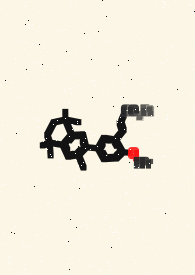 CCCOc1ccc(-c2cc3c(cc2C)C(C)(C)CCC3(C)C)cc1C=CC(=O)OCC